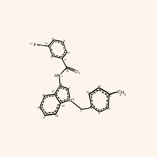 Cc1ccc(Cn2cc(NC(=O)c3cccc(F)c3)c3ccccc32)cc1